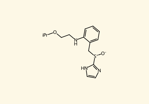 CC(C)OCCNc1ccccc1C[S+]([O-])c1ncc[nH]1